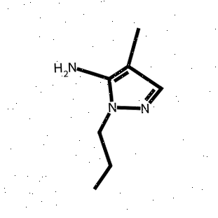 CCCn1ncc(C)c1N